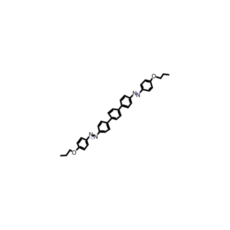 CCCOc1ccc(/N=N/c2ccc(-c3ccc(-c4ccc(/N=N/c5ccc(OCCC)cc5)cc4)cc3)cc2)cc1